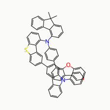 CC1(C)c2ccccc2-c2c(N(c3ccc(-c4cccc5c4oc4ccccc45)cc3)c3cccc4sc5ccc(-c6ccc7c(c6)c6ccccc6n7-c6ccccc6)cc5c34)cccc21